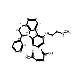 CNCCOc1cccc2c1c1cccc3c1n2C(c1ccccc1)CO3.O=C(O)/C=C\C(=O)O